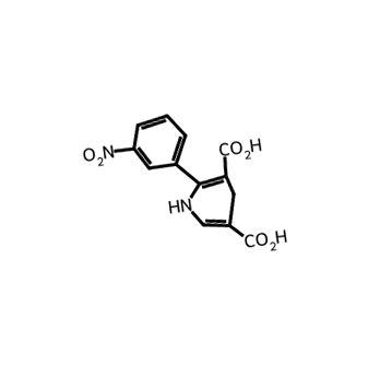 O=C(O)C1=CNC(c2cccc([N+](=O)[O-])c2)=C(C(=O)O)C1